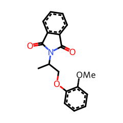 COc1ccccc1OCC(C)N1C(=O)c2ccccc2C1=O